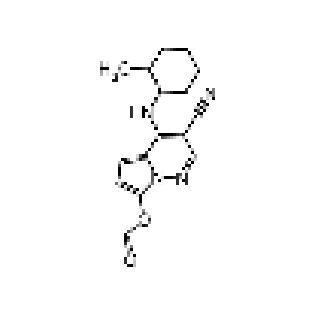 CC1CCCCC1Nc1c(C#N)cnn2c(OC=O)ccc12